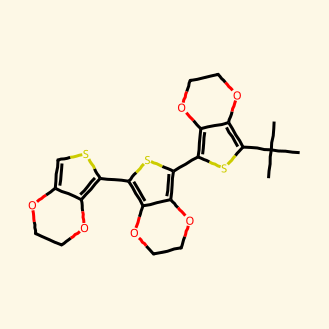 CC(C)(C)c1sc(-c2sc(-c3scc4c3OCCO4)c3c2OCCO3)c2c1OCCO2